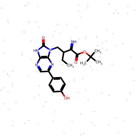 CCC(Cn1c(=O)[nH]c2ncc(-c3ccc(O)cc3)nc21)C(=N)C(=O)OC(C)(C)C